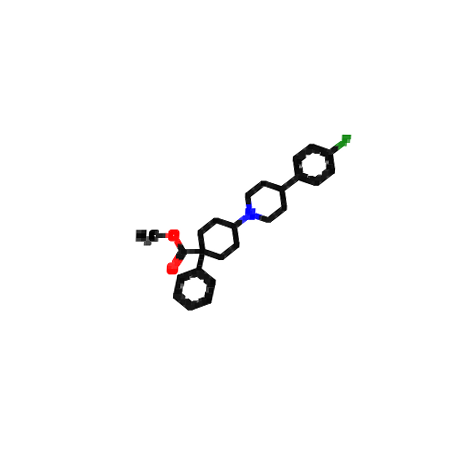 COC(=O)C1(c2ccccc2)CCC(N2CCC(c3ccc(F)cc3)CC2)CC1